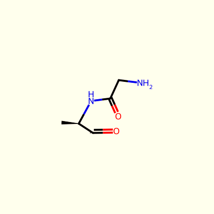 C[C@H]([C]=O)NC(=O)CN